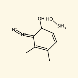 CC1=C(C)C(=[N+]=[N-])C(O)C=C1.O[SiH3]